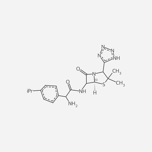 CC(C)c1ccc(C(N)C(=O)NC2C(=O)N3C(c4nnn[nH]4)C(C)(C)S[C@@H]23)cc1